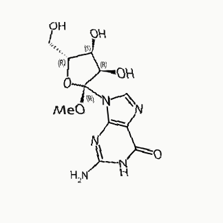 CO[C@@]1(n2cnc3c(=O)[nH]c(N)nc32)O[C@H](CO)[C@@H](O)[C@H]1O